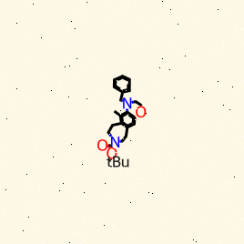 Cc1c2c(cc3c1N(Cc1ccccc1)CCO3)CCN(C(=O)OC(C)(C)C)CC2